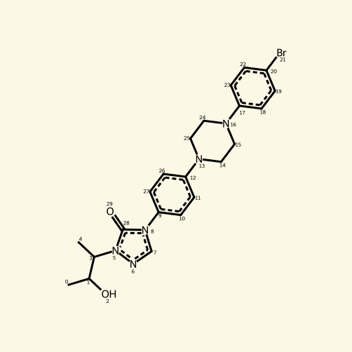 CC(O)C(C)n1ncn(-c2ccc(N3CCN(c4ccc(Br)cc4)CC3)cc2)c1=O